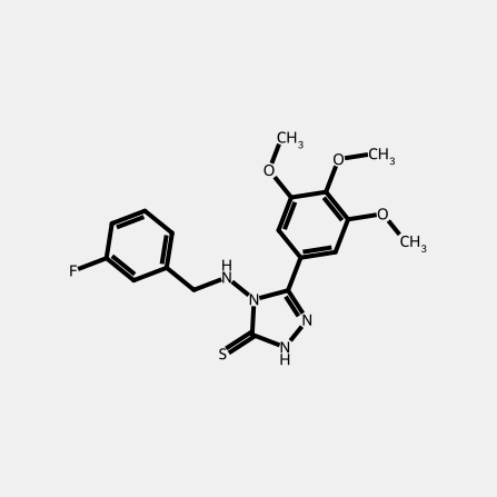 COc1cc(-c2n[nH]c(=S)n2NCc2cccc(F)c2)cc(OC)c1OC